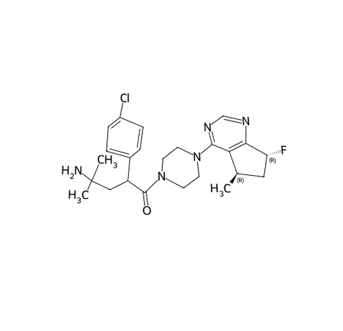 C[C@@H]1C[C@@H](F)c2ncnc(N3CCN(C(=O)C(CC(C)(C)N)c4ccc(Cl)cc4)CC3)c21